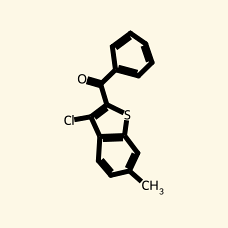 Cc1ccc2c(Cl)c(C(=O)c3ccccc3)sc2c1